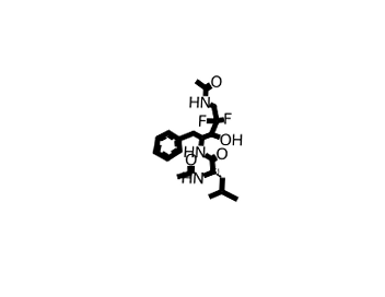 CC(=O)NCC(F)(F)C(O)C(Cc1ccccc1)NC(=O)[C@H](CC(C)C)NC(C)=O